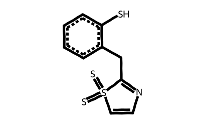 S=S1(=S)C=CN=C1Cc1ccccc1S